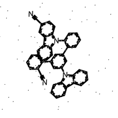 N#Cc1ccc2c(c1)c1ccccc1n2-c1ccccc1-c1cc(-c2ccccc2C#N)cc(-n2c3ccccc3c3ccccc32)c1